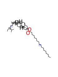 CCCCCCCC/C=C/CCCCCCCC(=O)O[C@H]1CC[C@@]2(C)C(=CC[C@H]3[C@@H]4CC[C@H]([C@H](C)/C=C/[C@@H](CC)C(C)C)[C@@]4(C)CC[C@@H]32)C1